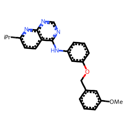 COc1cccc(COc2cccc(Nc3ncnc4nc(C(C)C)ccc34)c2)c1